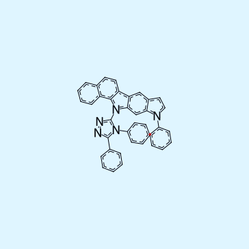 c1ccc(-c2nnc(-n3c4cc5c(ccn5-c5ccccc5)cc4c4ccc5ccccc5c43)n2-c2ccccc2)cc1